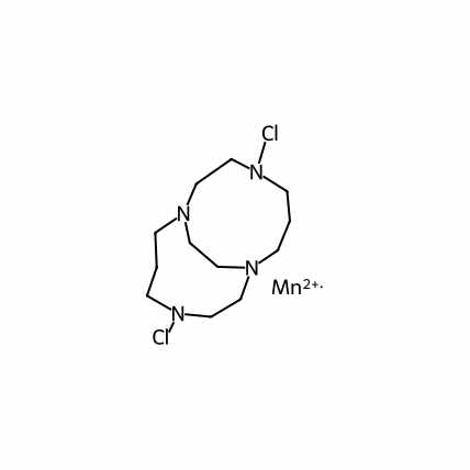 ClN1CCCN2CCN(Cl)CCCN(CC1)CC2.[Mn+2]